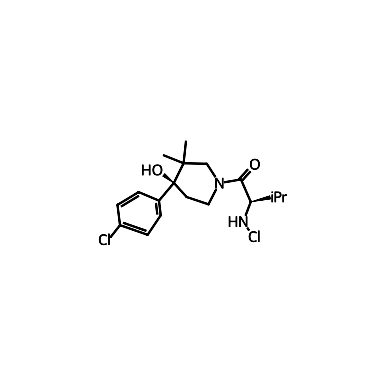 CC(C)[C@@H](NCl)C(=O)N1CC[C@](O)(c2ccc(Cl)cc2)C(C)(C)C1